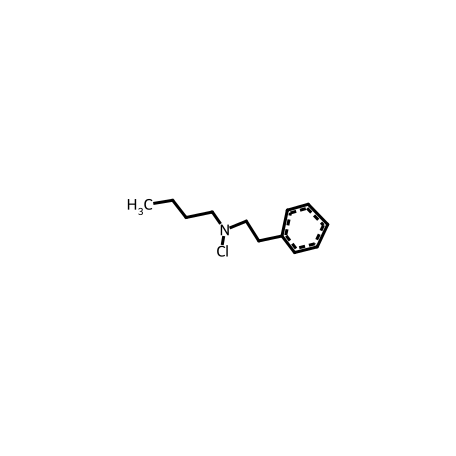 CCCCN(Cl)CCc1ccccc1